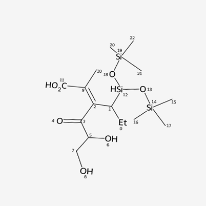 CCC(/C(C(=O)C(O)CO)=C(\C)C(=O)O)[SiH](O[Si](C)(C)C)O[Si](C)(C)C